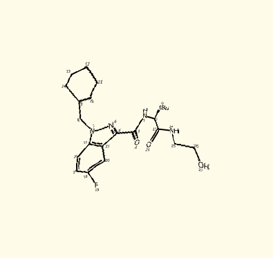 CC(C)(C)[C@H](NC(=O)c1nn(CC2CCCCC2)c2ccc(F)cc12)C(=O)NCCO